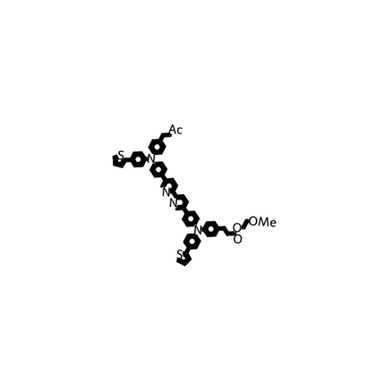 COCCOC(=O)CCc1ccc(N(c2ccc(-c3ccc(-c4ccc(-c5ccc(N(c6ccc(CCC(C)=O)cc6)c6ccc(-c7cccs7)cc6)cc5)cn4)nc3)cc2)c2ccc(-c3cccs3)cc2)cc1